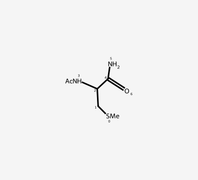 CSCC(NC(C)=O)C(N)=O